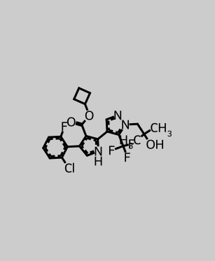 CC(C)(O)Cn1ncc(-c2[nH]cc(-c3c(F)cccc3Cl)c2C(=O)OC2CCC2)c1C(F)(F)F